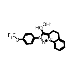 Oc1c2[n+](nn1-c1ccc(OC(F)(F)F)cc1)-c1ccccc1CC2.[OH-]